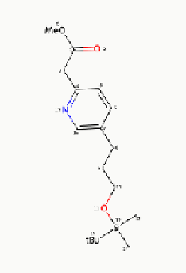 COC(=O)Cc1ccc(CCCO[Si](C)(C)C(C)(C)C)cn1